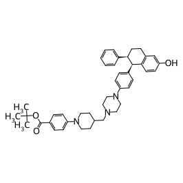 CC(C)(C)OC(=O)c1ccc(N2CCC(CN3CCN(c4ccc([C@@H]5c6ccc(O)cc6CC[C@@H]5c5ccccc5)cc4)CC3)CC2)cc1